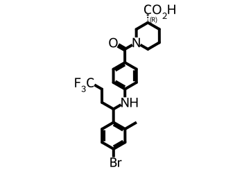 Cc1cc(Br)ccc1C(CCC(F)(F)F)Nc1ccc(C(=O)N2CCC[C@@H](C(=O)O)C2)cc1